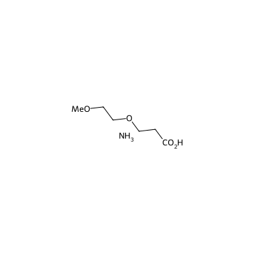 COCCOCCC(=O)O.N